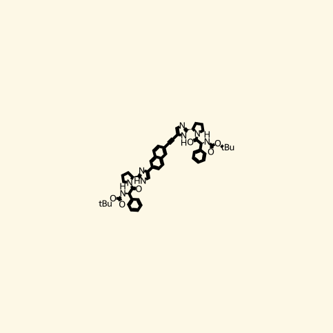 CC(C)(C)OC(=O)N[C@@H](C(=O)N1CCC[C@H]1c1nc(-c2ccc3cc(C#Cc4cnc([C@@H]5CCCN5C(=O)[C@H](NC(=O)OC(C)(C)C)c5ccccc5)[nH]4)ccc3c2)c[nH]1)c1ccccc1